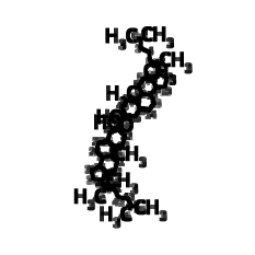 CC(C)CCC[C@@H](C)[C@H]1CCC2C3CC=C4CC(O)(OC5(O)CC[C@@]6(C)C(=CCC7C6CC[C@@]6(C)C7CC[C@@H]6[C@H](C)CCCC(C)C)C5)CC[C@]4(C)C3CC[C@@]21C